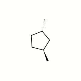 C[C@H]1CC[C@H](C)C1